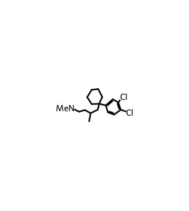 CNCCC(C)CC1(c2ccc(Cl)c(Cl)c2)CCCCC1